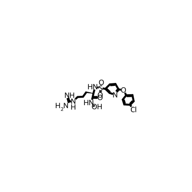 N=C(N)NCCC[C@@H](NS(=O)(=O)c1ccc(Oc2ccc(Cl)cc2)nc1)C(=O)NO